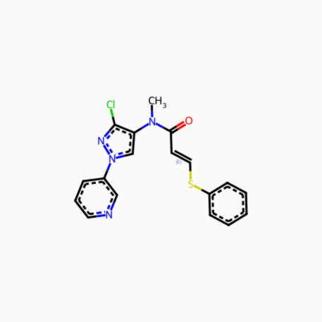 CN(C(=O)/C=C/Sc1ccccc1)c1cn(-c2cccnc2)nc1Cl